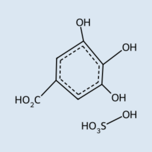 O=C(O)c1cc(O)c(O)c(O)c1.O=S(=O)(O)O